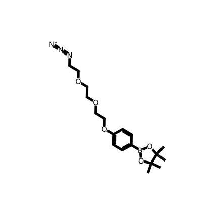 CC1(C)OB(c2ccc(OCCOCCOCCN=[N+]=[N-])cc2)OC1(C)C